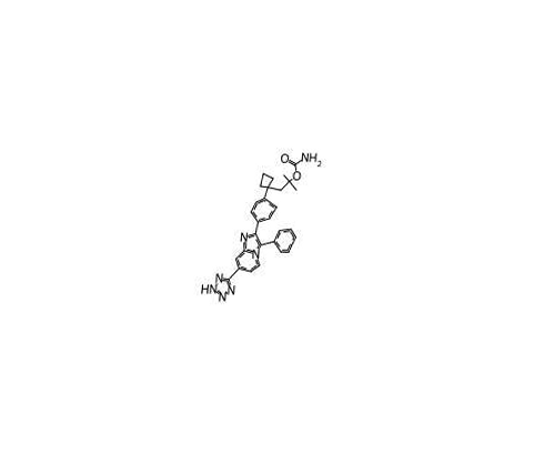 CC(C)(CC1(c2ccc(-c3nc4cc(-c5nn[nH]n5)ccn4c3-c3ccccc3)cc2)CCC1)OC(N)=O